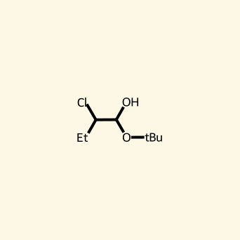 CCC(Cl)C(O)OC(C)(C)C